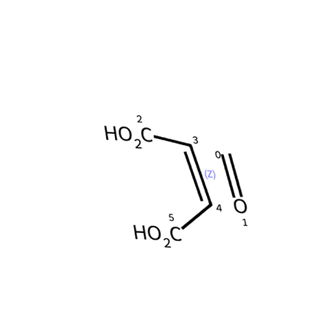 C=O.O=C(O)/C=C\C(=O)O